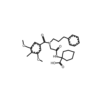 COc1cc(C(=O)N(CCCc2ccccc2)CC(=O)NC2(C(=O)O)CCCCC2)cc(OC)c1C